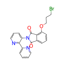 O=C1c2cccc(OCCCBr)c2C(=O)N1c1cccnc1-c1ccccn1